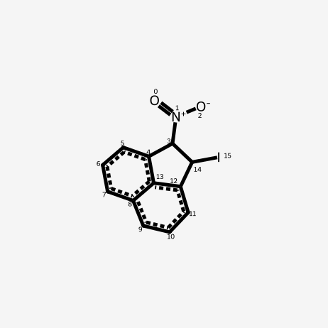 O=[N+]([O-])C1c2cccc3cccc(c23)C1I